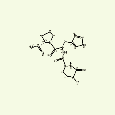 CCC1SCC(C(=O)N[C@@H](Cc2c[nH]cn2)C(=O)N2CCC[C@H]2C(N)=O)NC1=O